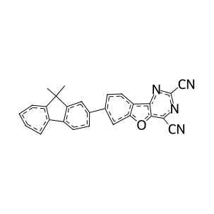 CC1(C)c2ccccc2-c2ccc(-c3ccc4c(c3)oc3c(C#N)nc(C#N)nc34)cc21